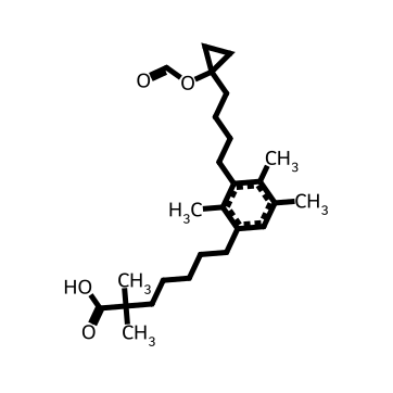 Cc1cc(CCCCCC(C)(C)C(=O)O)c(C)c(CCCCC2(OC=O)CC2)c1C